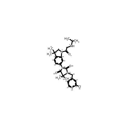 CC(C)NCC(=O)N1CC(C)(C)c2ccc(N3C(=O)N(Cc4ccnc(Cl)c4)C(C)(C)C3=O)cc21